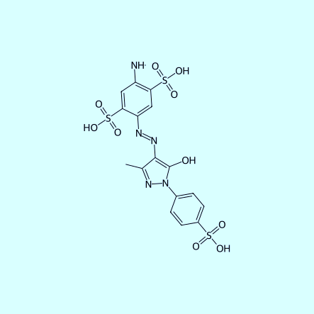 Cc1nn(-c2ccc(S(=O)(=O)O)cc2)c(O)c1/N=N/c1cc(S(=O)(=O)O)c([NH])cc1S(=O)(=O)O